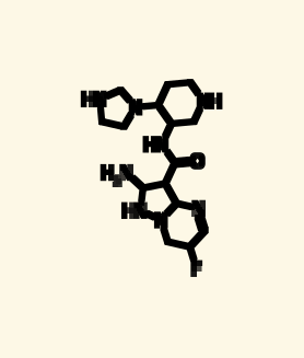 NC1NN2CC(F)C=NC2C1C(=O)NC1CNCCC1N1CCNC1